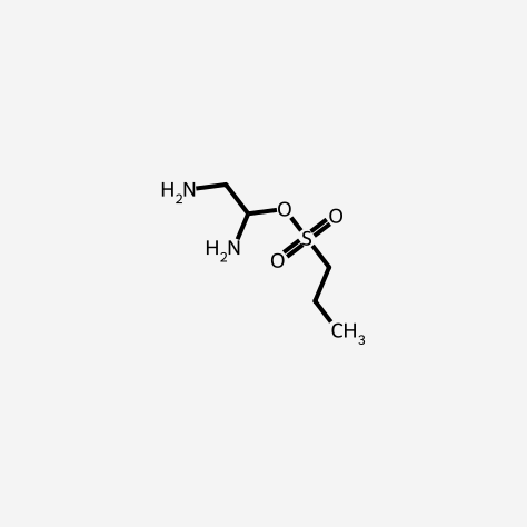 CCCS(=O)(=O)OC(N)CN